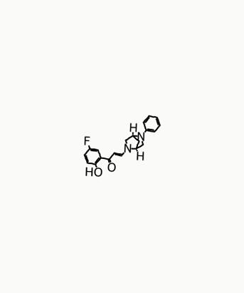 O=C(/C=C/N1C[C@H]2C[C@@H]1CN2c1ccccc1)c1cc(F)ccc1O